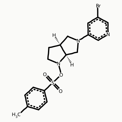 Cc1ccc(S(=O)(=O)ON2CC[C@H]3CN(c4cncc(Br)c4)C[C@H]32)cc1